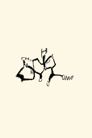 COC(=O)C1CS[C@H]2CC[C@]3(CCCN3C)C(=O)N12